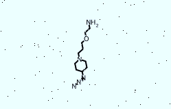 [N-]=[N+]=NC1CCN(CCCOCCN)CC1